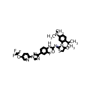 CC(C)c1ccc(N(C)C)cc1N1C(=O)CS/C1=N\C(=O)Nc1ccc(-c2ncn(-c3ccc(OC(F)(F)F)cn3)n2)cc1F